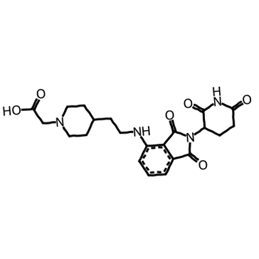 O=C(O)CN1CCC(CCNc2cccc3c2C(=O)N(C2CCC(=O)NC2=O)C3=O)CC1